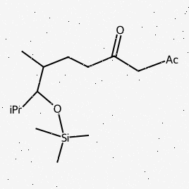 CC(=O)CC(=O)CCC(C)C(O[Si](C)(C)C)C(C)C